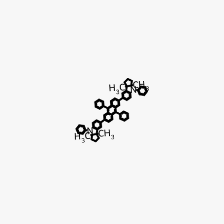 CC12CCCC1(C)N(c1ccccc1)c1ccc(-c3ccc4c(-c5ccccc5)c5cc(-c6ccc7c(c6)C6(C)CCCC6(C)N7c6ccccc6)ccc5c(-c5ccccc5)c4c3)cc12